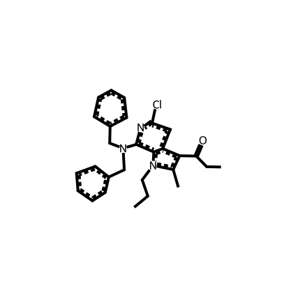 CCCn1c(C)c(C(=O)CC)c2cc(Cl)nc(N(Cc3ccccc3)Cc3ccccc3)c21